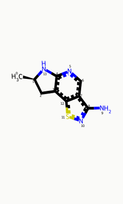 C[C@@H]1Cc2c(ncc3c(N)nsc23)N1